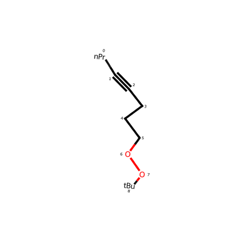 CCCC#CCCCOOC(C)(C)C